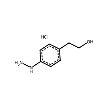 Cl.NNc1ccc(CCO)cc1